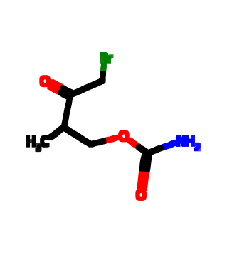 CC(COC(N)=O)C(=O)CBr